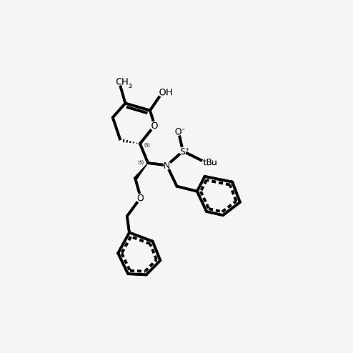 CC1=C(O)O[C@H]([C@H](COCc2ccccc2)N(Cc2ccccc2)[S+]([O-])C(C)(C)C)CC1